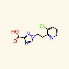 O=C(O)c1ncn(CCc2ncccc2Cl)n1